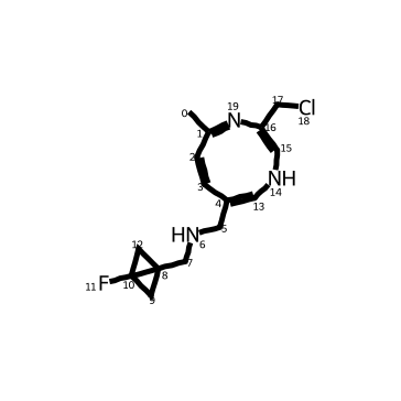 Cc1ccc(CNCC23CC2(F)C3)c[nH]cc(CCl)n1